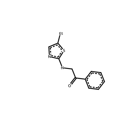 CCc1cnc([N]CC(=O)c2ccccc2)s1